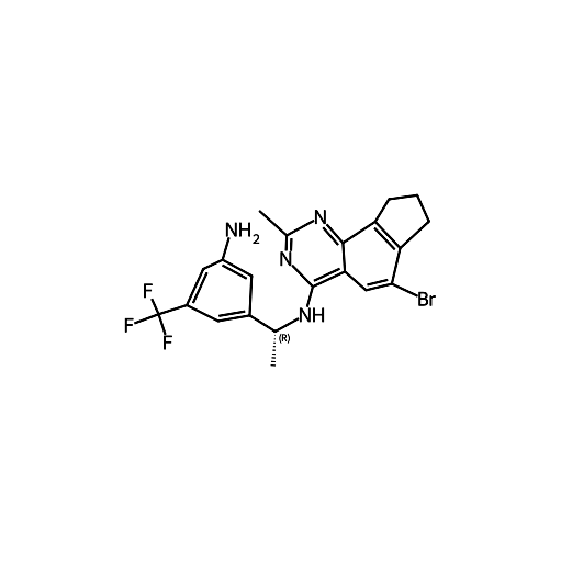 Cc1nc(N[C@H](C)c2cc(N)cc(C(F)(F)F)c2)c2cc(Br)c3c(c2n1)CCC3